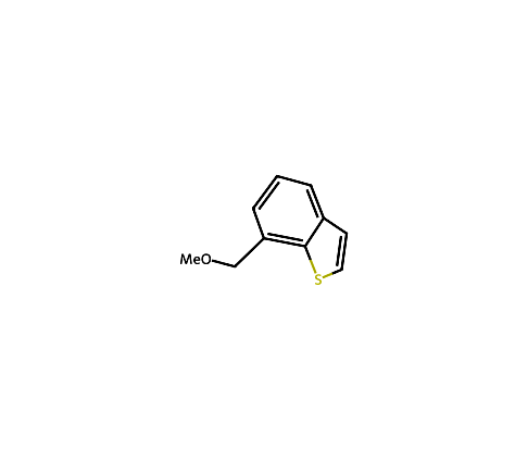 COCc1cccc2ccsc12